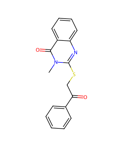 Cn1c(SCC(=O)c2ccccc2)nc2ccccc2c1=O